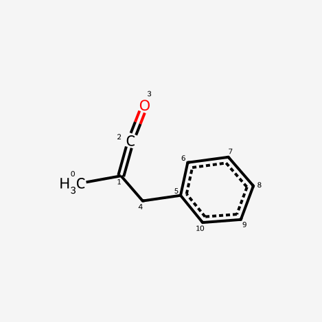 CC(=C=O)Cc1ccccc1